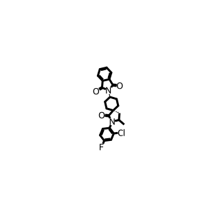 CC1C[C@]2(CC[C@@H](N3C(=O)c4ccccc4C3=O)CC2)C(=O)N1c1ccc(F)cc1Cl